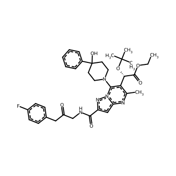 CCOC(=O)[C@@H](OC(C)(C)C)c1c(C)nc2cc(C(=O)NCC(=O)Cc3ccc(F)cc3)nn2c1N1CCC(O)(c2ccccc2)CC1